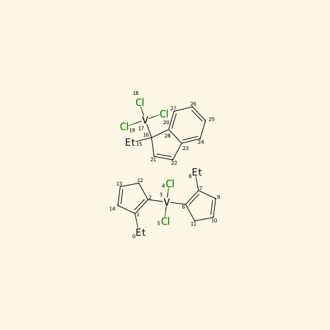 CCC1=[C]([V]([Cl])([Cl])[C]2=C(CC)C=CC2)CC=C1.CC[C]1([V]([Cl])([Cl])[Cl])C=Cc2ccccc21